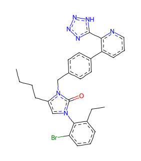 CCCCc1cn(-c2c(Br)cccc2CC)c(=O)n1Cc1ccc(-c2cccnc2-c2nnn[nH]2)cc1